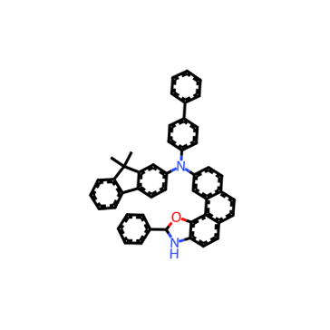 CC1(C)c2ccccc2-c2ccc(N(c3ccc(-c4ccccc4)cc3)c3ccc4ccc5ccc6c(c5c4c3)OC(c3ccccc3)N6)cc21